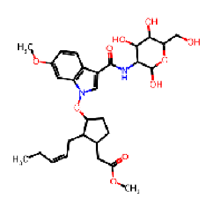 CC/C=C\CC1C(CC(=O)OC)CCC1On1cc(C(=O)NC2C(O)OC(CO)C(O)C2O)c2ccc(OC)cc21